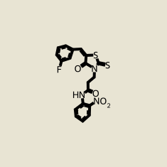 O=C(CCN1C(=O)C(=Cc2cccc(F)c2)SC1=S)Nc1ccccc1[N+](=O)[O-]